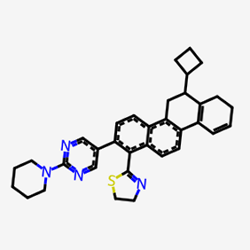 C1=CC2=C(CC1)C(C1CCC1)Cc1c2ccc2c(C3=NCCS3)c(-c3cnc(N4CCCCC4)nc3)ccc12